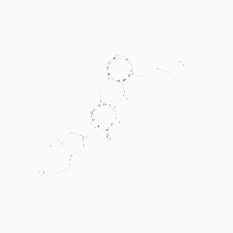 COCC1O[C@@H](n2cc3c(nc2=O)Nc2c(OCCN)cccc2O3)C[C@H]1O